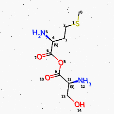 CSCC[C@H](N)C(=O)OC(=O)[C@@H](N)CO